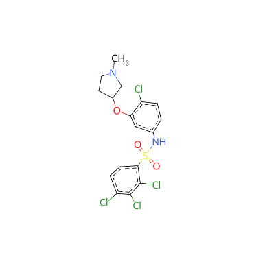 CN1CCC(Oc2cc(NS(=O)(=O)c3ccc(Cl)c(Cl)c3Cl)ccc2Cl)C1